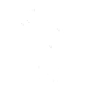 Cn1ncc2cc(N3CCC(O[Si](C)(C)C(C)(C)C)C3)c([N+](=O)[O-])cc21